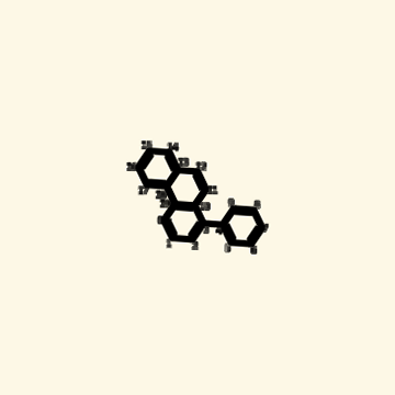 [c]1ccc(-c2ccccc2)c2ccc3ccccc3c12